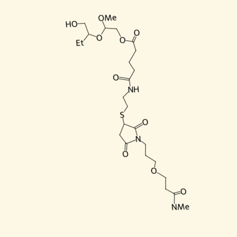 CCC(CO)OC(COC(=O)CCCC(=O)NCCSC1CC(=O)N(CCCOCCC(=O)NC)C1=O)OC